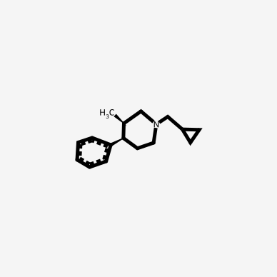 C[C@H]1CN(CC2CC2)CC[C@H]1c1ccccc1